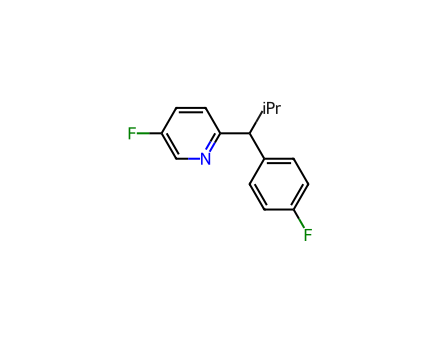 CC(C)C(c1ccc(F)cc1)c1ccc(F)cn1